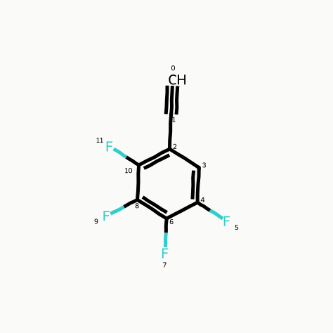 C#Cc1cc(F)c(F)c(F)c1F